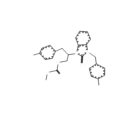 COC(=O)NCC(Cc1ccc(C)cc1)n1c(=N)n(Cc2ccc(C)cc2)c2ccccc21